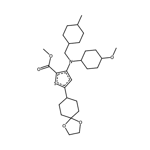 COC(=O)c1sc(C2CCC3(CC2)OCCO3)cc1N(CC1CCC(C)CC1)C1CCC(OC)CC1